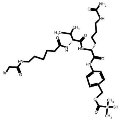 CC(C)[C@@H](NC(=O)CCCCCNC(=O)CBr)C(=O)N[C@H](CCCCNC(N)=O)C(=O)Nc1ccc(COC(=O)S(C)(C)S)cc1